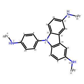 CCCNc1ccc(-n2c3ccc(NCCC)cc3c3cc(NCCC)ccc32)cc1